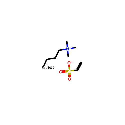 C=CS(=O)(=O)[O-].CCCCCCCCCC[N+](C)(C)C